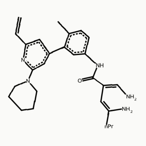 C=Cc1cc(-c2cc(NC(=O)C(/C=C(\N)CCC)=C/N)ccc2C)cc(N2CCCCC2)n1